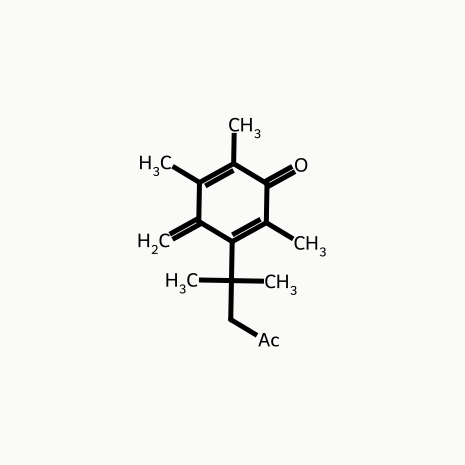 C=C1C(C)=C(C)C(=O)C(C)=C1C(C)(C)CC(C)=O